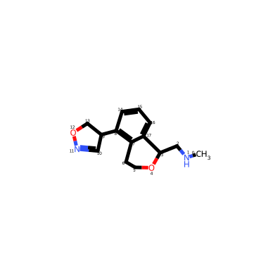 CNCC1OCCc2c(C3C=NOC3)cccc21